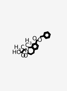 CC(C(=O)O)N1C(=O)CCc2ccc(C(=O)OCc3ccccc3)cc2C1C